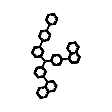 c1ccc(-c2ccc(-c3cccc(N(c4ccc(-c5cccc6ccccc56)cc4)c4cccc(-c5cccc6ccccc56)c4)c3)cc2)cc1